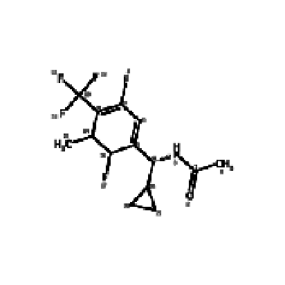 CC(=O)N[C@@H](C1=CC(F)=C(C(F)(F)F)C(C)C1F)C1CC1